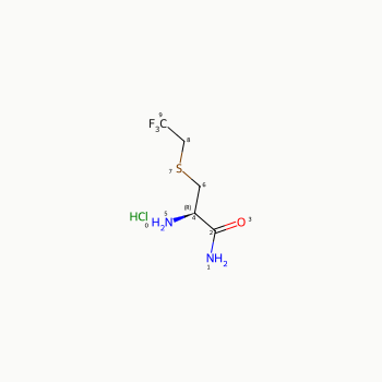 Cl.NC(=O)[C@@H](N)CSCC(F)(F)F